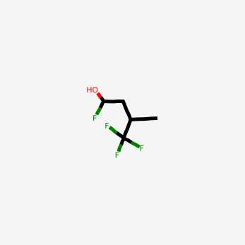 CC(CC(O)F)C(F)(F)F